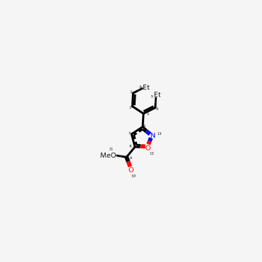 CC/C=C\C(=C/CC)c1cc(C(=O)OC)on1